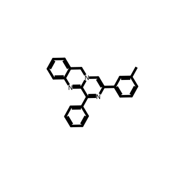 Cc1cccc(C2=CN3Cc4ccccc4N=C3C(c3ccccc3)=N2)c1